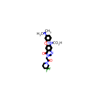 CN(C)c1cccc(Oc2cc3c(=O)n(CC(=O)N4CCCC(F)(F)C4)cnc3cc2NC(=O)O)c1